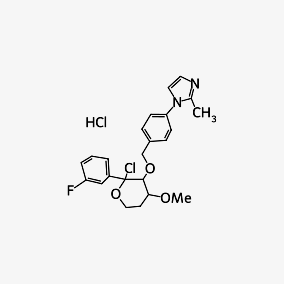 COC1CCOC(Cl)(c2cccc(F)c2)C1OCc1ccc(-n2ccnc2C)cc1.Cl